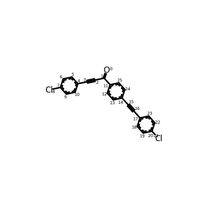 O=C(C#Cc1ccc(Cl)cc1)c1ccc(C#Cc2ccc(Cl)cc2)cc1